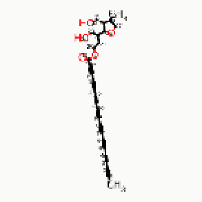 CC#CC#CC#CC#CC#CC#CC#CC#CC(=O)OCCC(CO)C1OCC(C)[C@@H]1CO